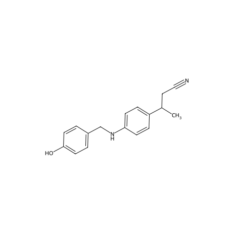 CC(CC#N)c1ccc(NCc2ccc(O)cc2)cc1